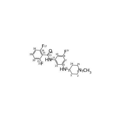 CN1CCC(Nc2cc(F)cc(NC(=O)c3c(F)cccc3F)c2)CC1